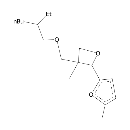 CCCCC(CC)COCC1(C)COC1c1ccc(C)o1